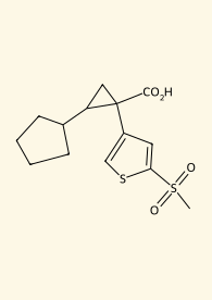 CS(=O)(=O)c1cc(C2(C(=O)O)CC2C2CCCC2)cs1